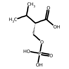 CC(C)[C@@H](COP(=O)(O)O)C(=O)O